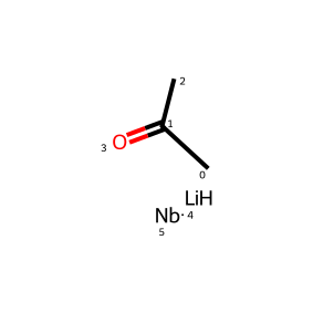 CC(C)=O.[LiH].[Nb]